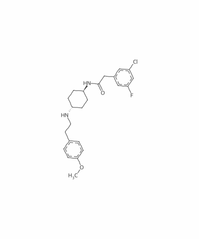 COc1ccc(CCN[C@H]2CC[C@H](NC(=O)Cc3cc(F)cc(Cl)c3)CC2)cc1